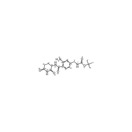 CC(C)(C)OC(=O)NCc1ccc(C(=O)NC2CCC(=O)NC2=O)c(N)c1